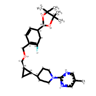 CCc1cnc(N2CCC([C@H]3C[C@H]3COCC3=C(F)CC(B4OC(C)(C)C(C)(C)O4)C=C3)CC2)nc1